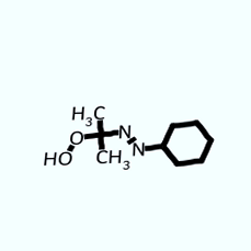 CC(C)(N=NC1CCCCC1)OO